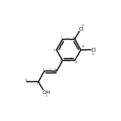 CC(O)/C=C/c1ccc(Cl)c(Cl)c1